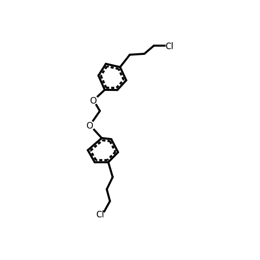 ClCCCc1ccc(OCOc2ccc(CCCCl)cc2)cc1